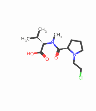 CC(C)[C@@H](C(=O)O)N(C)C(=O)[C@H]1CCCN1CCCl